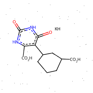 O=C(O)c1[nH]c(=O)[nH]c(=O)c1C1CCCC(C(=O)O)C1.[KH]